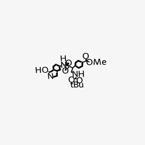 COC(=O)c1ccc(C(CNC(=O)OC(C)(C)C)S(=O)(=O)Nc2ccc3c(O)nccc3c2)cc1